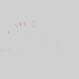 O=C(COc1ccccc1)NC1C(=O)N2C(C(=O)O)=C(CO)OCC12